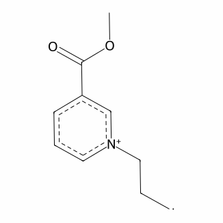 [CH2]CC[n+]1cccc(C(=O)OC)c1